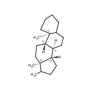 CC1CC[C@H]2[C@@H]3CCC4CCCC[C@]4(C)[C@H]3CC[C@]12C